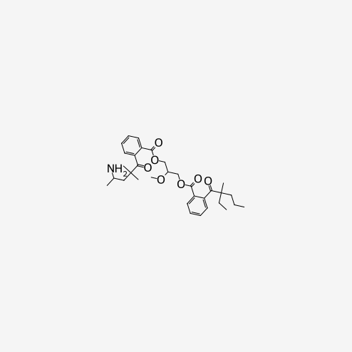 CCCC(C)(CC)C(=O)c1ccccc1C(=O)OCC(COC(=O)c1ccccc1C(=O)C(C)(C)CC(C)N)OC